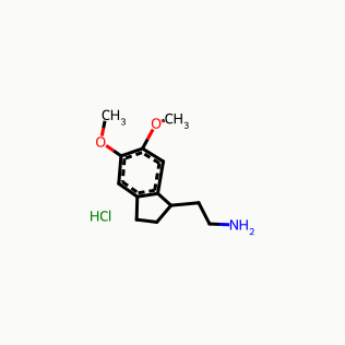 COc1cc2c(cc1OC)C(CCN)CC2.Cl